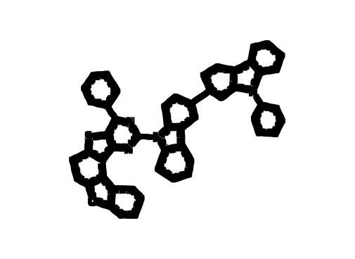 c1ccc(-c2nc(-n3c4ccccc4c4cc(-c5ccc6c7ccccc7n(-c7ccccc7)c6c5)ccc43)nc3c2sc2ccc4oc5ccccc5c4c23)cc1